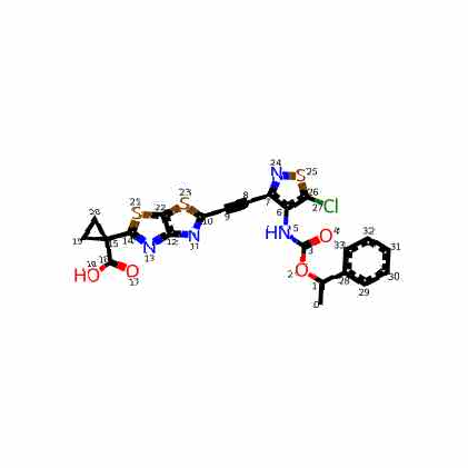 CC(OC(=O)Nc1c(C#Cc2nc3nc(C4(C(=O)O)CC4)sc3s2)nsc1Cl)c1ccccc1